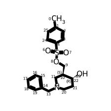 Cc1ccc(S(=O)(=O)OC[C@@H]2CN(Cc3ccccc3)CC[C@H]2O)cc1